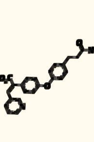 NC(=O)CCc1ccc(Oc2ccc(/C(=C\c3cccnc3)C(=O)O)cc2)cc1